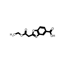 CCOC(=O)Cc1nc2cc(C(=O)O)ccc2o1